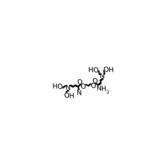 N#C/C(=C\C=C\N(CCO)CCO)C(=O)OCCCOC(=O)/C(N)=C\C=C\N(CCO)CCO